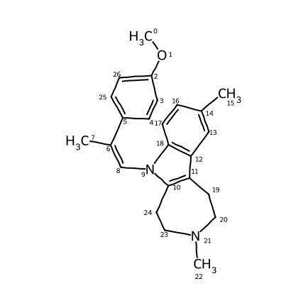 COc1ccc(/C(C)=C\n2c3c(c4cc(C)ccc42)CCN(C)CC3)cc1